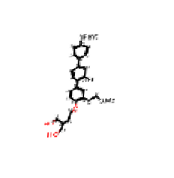 CCCCCc1ccc(-c2ccc(-c3ccc(OCCC(CO)CO)c(CCOC)c3)c(CC)c2)cc1